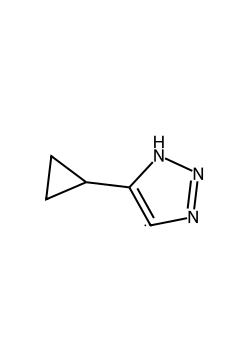 [c]1nn[nH]c1C1CC1